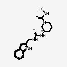 CNC(=O)N1CCC[C@@H](NC(=O)NCc2cc3ccccc3[nH]2)C1